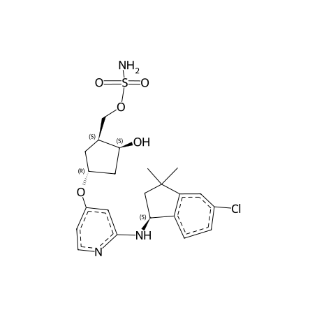 CC1(C)C[C@H](Nc2cc(O[C@@H]3C[C@@H](COS(N)(=O)=O)[C@@H](O)C3)ccn2)c2ccc(Cl)cc21